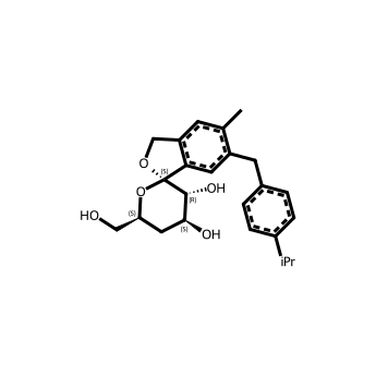 Cc1cc2c(cc1Cc1ccc(C(C)C)cc1)[C@]1(OC2)O[C@H](CO)C[C@H](O)[C@H]1O